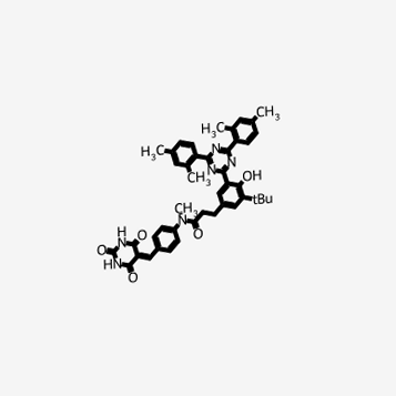 Cc1ccc(-c2nc(-c3ccc(C)cc3C)nc(-c3cc(CCC(=O)N(C)c4ccc(C=C5C(=O)NC(=O)NC5=O)cc4)cc(C(C)(C)C)c3O)n2)c(C)c1